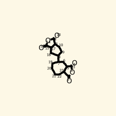 O=C1OC(=O)C2CC(C3CCC4C(=O)OC(=O)C4C3)CCCCC12